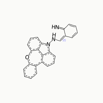 N=C1C=CC=C/C1=C/Nn1c2cccc3oc4ccccc4c4cccc1c4c32